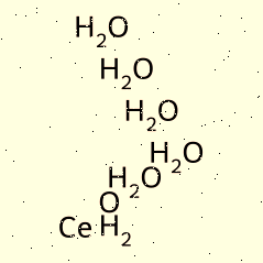 O.O.O.O.O.O.[Ce]